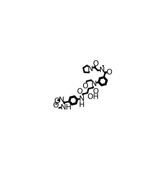 CN(CC(=O)N1CCCC1)C(=O)c1cccc(N2CCO[C@H]([C@@H](O)C(=O)Nc3ccc(C4=NOOCN4)cc3)C2=O)c1